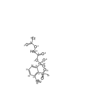 CCC(=O)ONC(=O)OS(=O)(=O)c1cccc(C(C)(C)C)c1S(C)(=O)=O